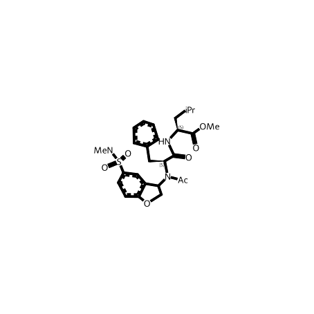 CNS(=O)(=O)c1ccc2c(c1)C(N(C(C)=O)[C@@H](Cc1ccccc1)C(=O)N[C@@H](CC(C)C)C(=O)OC)CO2